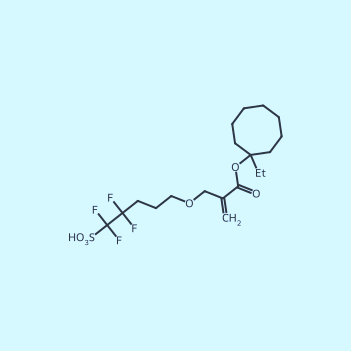 C=C(COCCCC(F)(F)C(F)(F)S(=O)(=O)O)C(=O)OC1(CC)CCCCCCC1